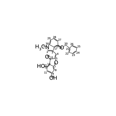 Cn1cc(/C=C2/Oc3cc(O)cc(O)c3C2=O)c2c(OCc3ccccc3)cccc21